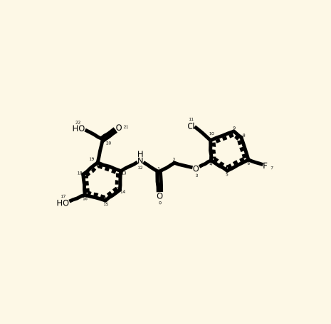 O=C(COc1cc(F)ccc1Cl)Nc1ccc(O)cc1C(=O)O